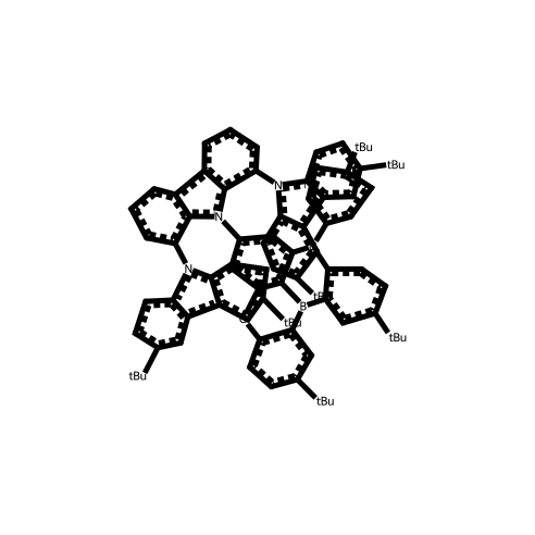 CC(C)(C)c1ccc(N2c3ccc(C(C)(C)C)cc3B3c4cc(C(C)(C)C)ccc4Oc4cc(-n5c6c(-n7c8ccc(C(C)(C)C)cc8c8cc(C(C)(C)C)ccc87)cccc6c6cccc(-n7c8ccc(C(C)(C)C)cc8c8cc(C(C)(C)C)ccc87)c65)cc2c43)cc1